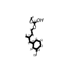 COC(O)OCCC(C)CC1CCCC(I)C1